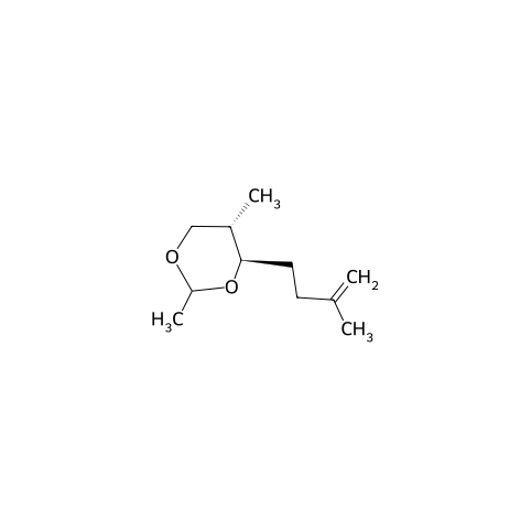 C=C(C)CC[C@H]1OC(C)OC[C@@H]1C